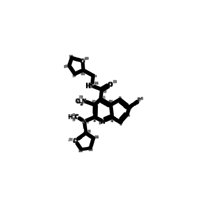 CN(c1nc2ccc(F)cc2c(C(=O)NCC2CCCO2)c1[N+](=O)[O-])C1CCCO1